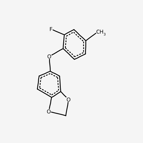 Cc1ccc(Oc2ccc3c(c2)OCO3)c(F)c1